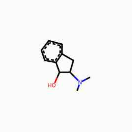 CN(C)C1Cc2ccccc2C1O